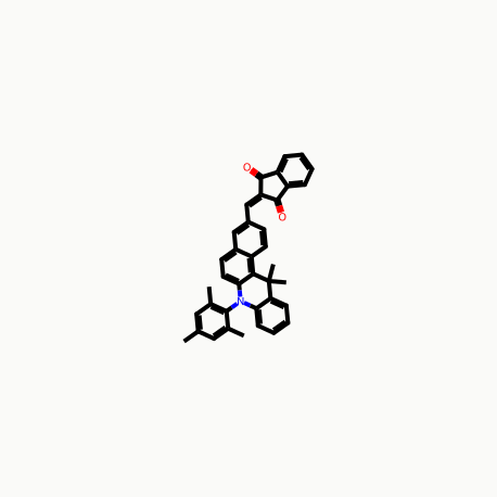 Cc1cc(C)c(N2c3ccccc3C(C)(C)c3c2ccc2cc(C=C4C(=O)c5ccccc5C4=O)ccc32)c(C)c1